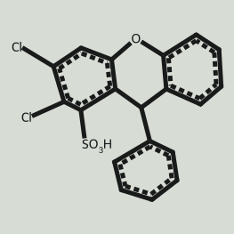 O=S(=O)(O)c1c(Cl)c(Cl)cc2c1C(c1ccccc1)c1ccccc1O2